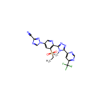 CCS(=O)(=O)c1cc(-n2cnc(C#N)n2)cnc1-c1nnc(-c2cc(C(F)(F)F)ncn2)n1C